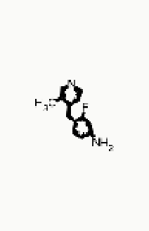 Cc1cnccc1Cc1ccc(N)cc1F